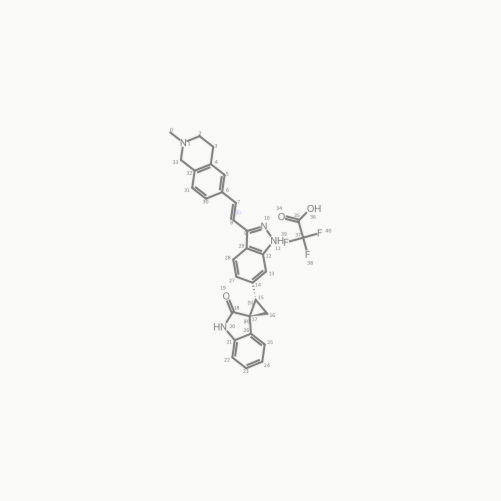 CN1CCc2cc(/C=C/c3n[nH]c4cc([C@@H]5C[C@@]56C(=O)Nc5ccccc56)ccc34)ccc2C1.O=C(O)C(F)(F)F